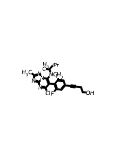 Cc1nc2nc(Cl)c(-c3c(F)cc(C#CCCO)cc3F)c(N(C)C(C)C(C)C)n2n1